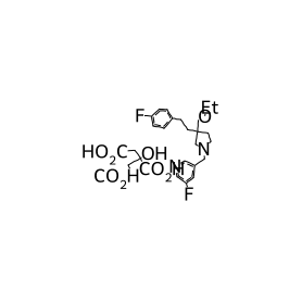 CCOCC1(CCc2ccc(F)cc2)CCN(Cc2cncc(F)c2)C1.O=C(O)CC(O)(CC(=O)O)C(=O)O